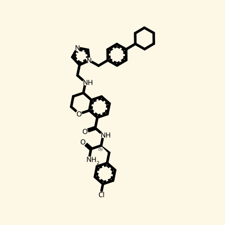 NC(=O)[C@H](Cc1ccc(Cl)cc1)NC(=O)c1cccc2c1OCCC2NCc1cncn1Cc1ccc(C2CCCCC2)cc1